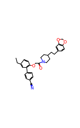 CCc1ccc(OCC(=O)N2CCC(CCc3ccc4c(c3)OCO4)CC2)c(-c2ccc(C#N)cc2)c1